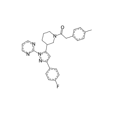 Cc1ccc(CC(=O)N2CCCC(c3cc(-c4ccc(F)cc4)nn3-c3ncccn3)C2)cc1